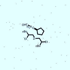 CCCCC(CC)[CH2][Zr][CH2]C(CC)CCCC.NC=O.O=C1CCCC1